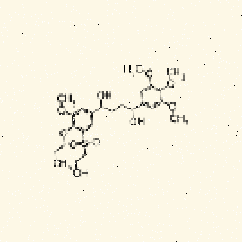 CCCOc1c(OC)cc(C(O)CCC(O)c2cc(OC)c(OC)c(OC)c2)cc1S(=O)(=O)CCO